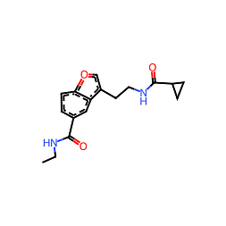 CCNC(=O)c1ccc2occ(CCNC(=O)C3CC3)c2c1